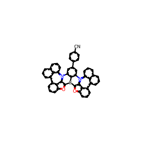 N#Cc1ccc(-c2cc3c4c(c2)-n2c5cccc6cccc(c7cccc8oc(c2c87)B4c2oc4cccc7c8cccc9cccc(c98)n-3c2c47)c65)cc1